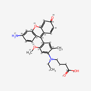 CCN(CCCC(=O)O)c1cc(OC)c(-c2c3ccc(=O)cc-3oc3cc(N)ccc23)cc1C